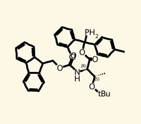 Cc1ccc(C(P)(OC(=O)[C@H](NC(=O)OCC2c3ccccc3-c3ccccc32)[C@H](C)OC(C)(C)C)c2ccccc2Cl)cc1